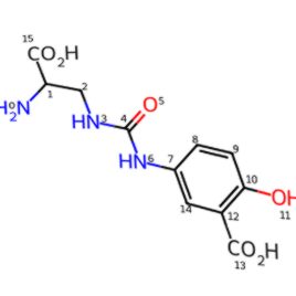 NC(CNC(=O)Nc1ccc(O)c(C(=O)O)c1)C(=O)O